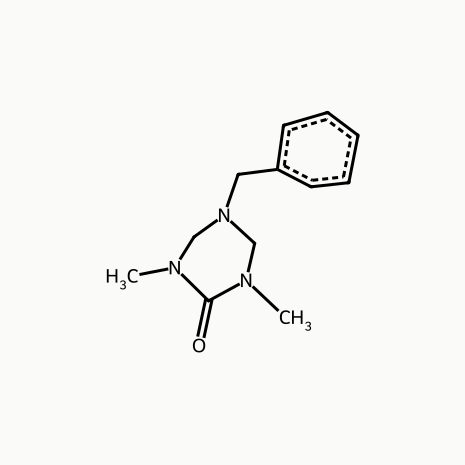 CN1CN(Cc2ccccc2)CN(C)C1=O